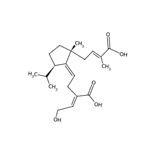 C/C(=C\C[C@@]1(C)CC[C@H](C(C)C)C1=CC/C(=C\CO)C(=O)O)C(=O)O